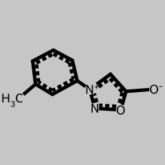 Cc1cccc(-[n+]2cc([O-])on2)c1